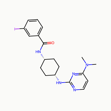 CN(C)c1ccnc(N[C@H]2CC[C@@H](NC(=O)c3cccc(I)c3)CC2)n1